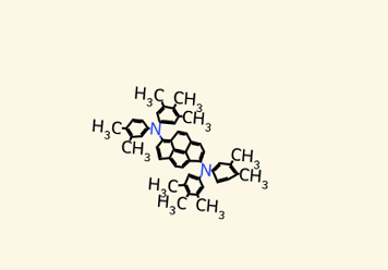 Cc1ccc(N(c2cc(C)c(C)c(C)c2)c2ccc3ccc4c(N(c5ccc(C)c(C)c5)c5cc(C)c(C)c(C)c5)ccc5ccc2c3c54)cc1C